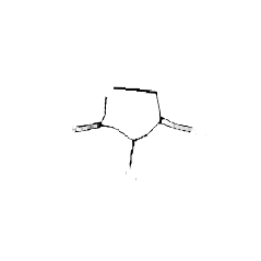 O=C1CSC(=O)C1O